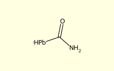 N[C](=O)[PbH]